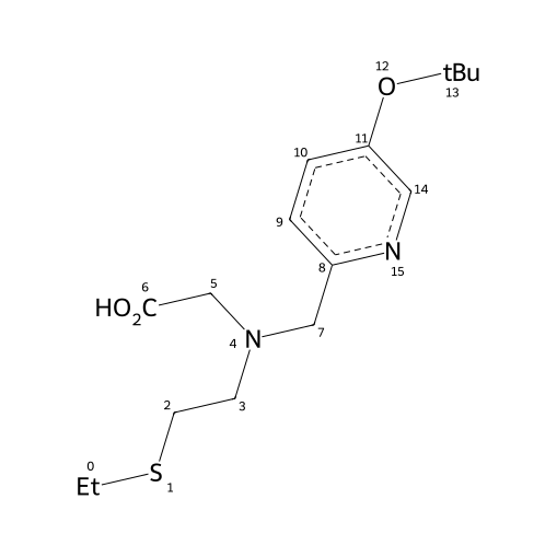 CCSCCN(CC(=O)O)Cc1ccc(OC(C)(C)C)cn1